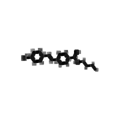 CCCCOC(=O)c1ccc(C=Cc2ccc(Br)cc2)cc1